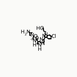 C[C@@H](NC(=O)c1c[nH]c2ncc(-c3nn(CCCO)c4cc(Cl)ccc34)nc12)C(=O)N1CC(N)C1